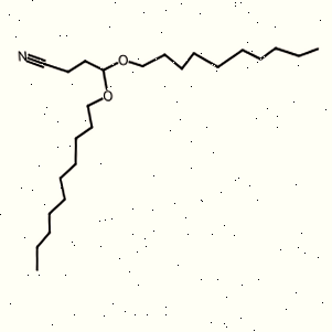 CCCCCCCCCCOC(CCC#N)OCCCCCCCCCC